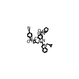 Cc1cc(C(=O)N2CC3CCC2C3N)cc2nc(-c3cc4ccccc4n3CC3CC3)n(CC3CN(C(=O)c4ccc(C#N)cc4)C3)c12